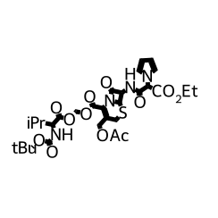 CCOC(=O)C(C(=O)NC1C(=O)N2C(C(=O)OCOC(=O)C(NC(=O)OC(C)(C)C)C(C)C)=C(COC(C)=O)CSC12)n1cccc1